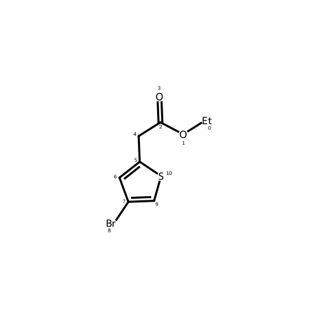 CCOC(=O)Cc1cc(Br)cs1